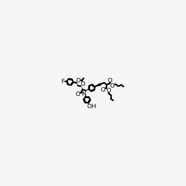 CCCCOC(=O)C(CC#Cc1ccc([C@@H]2[C@@H](CC[C@H](OC(C)=O)c3ccc(F)cc3)C(=O)N2c2ccc(O)cc2)cc1)C(=O)OCCCC